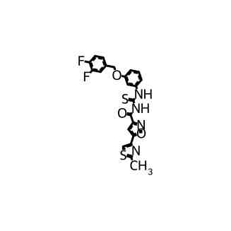 Cc1nc(-c2cc(C(=O)NC(=S)Nc3cccc(OCc4ccc(F)c(F)c4)c3)no2)cs1